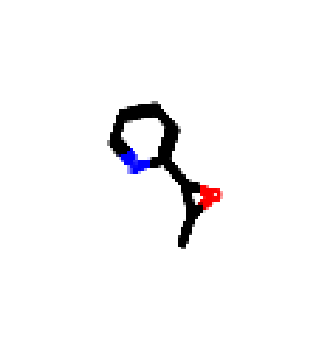 CC1OC1c1ccccn1